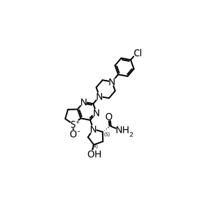 NC(=O)[C@@H]1C[C@@H](O)CN1c1nc(N2CCN(c3ccc(Cl)cc3)CC2)nc2c1[S+]([O-])CC2